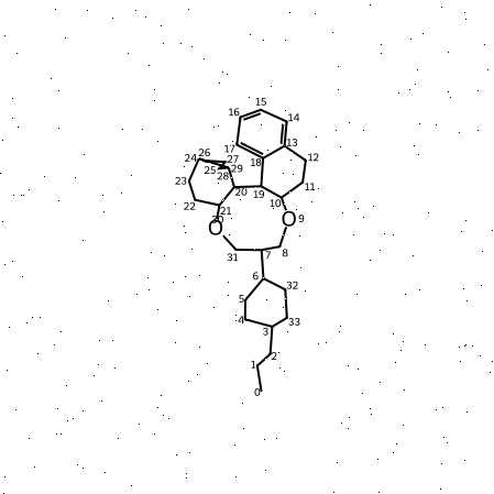 CCCC1CCC(C2COC3CCc4ccccc4C3C3C(CCC4CCCCC43)OC2)CC1